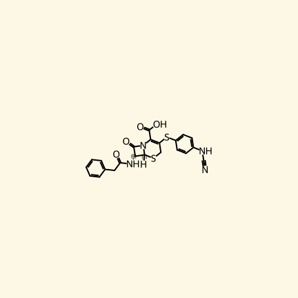 N#CNc1ccc(SC2=C(C(=O)O)N3C(=O)[C@@H](NC(=O)Cc4ccccc4)[C@H]3SC2)cc1